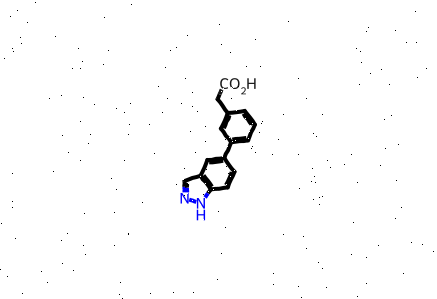 O=C(O)Cc1cccc(-c2ccc3[nH]ncc3c2)c1